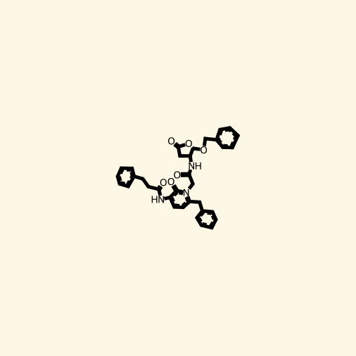 O=C(CCc1ccccc1)Nc1ccc(Cc2ccccc2)n(CC(=O)NC2CC(=O)OC2OCc2ccccc2)c1=O